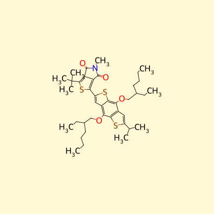 CCCCC(CC)COc1c2cc(C(C)C)sc2c(OCC(CC)CCCC)c2cc(-c3sc(C(C)(C)C)c4c3C(=O)N(C)C4=O)sc12